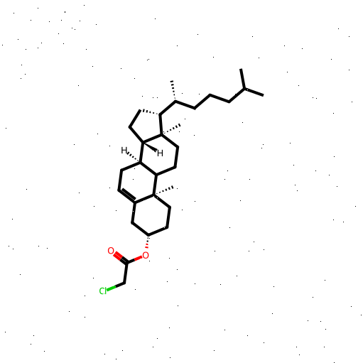 CC(C)CCC[C@@H](C)[C@H]1CC[C@H]2[C@@H]3CC=C4C[C@@H](OC(=O)CCl)CC[C@]4(C)C3CC[C@]12C